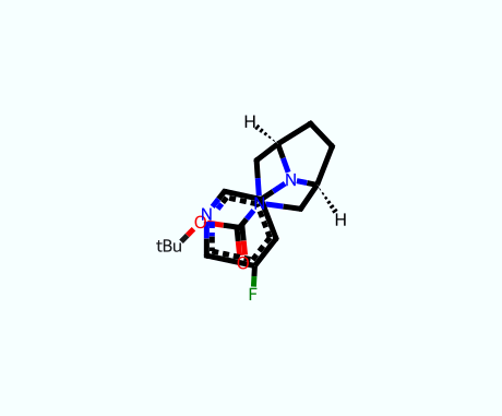 CC(C)(C)OC(=O)N1C[C@H]2CC[C@@H](C1)N2c1cncc(F)c1